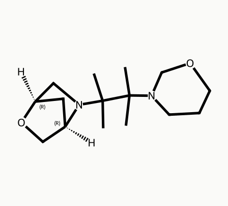 CC(C)(N1CCCOC1)C(C)(C)N1C[C@H]2C[C@@H]1CO2